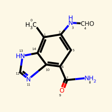 Cc1c(NC=O)cc(C(N)=O)c2nc[nH]c12